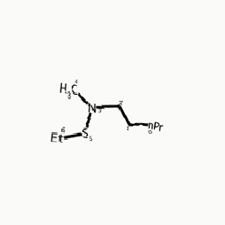 CCCCCN(C)SCC